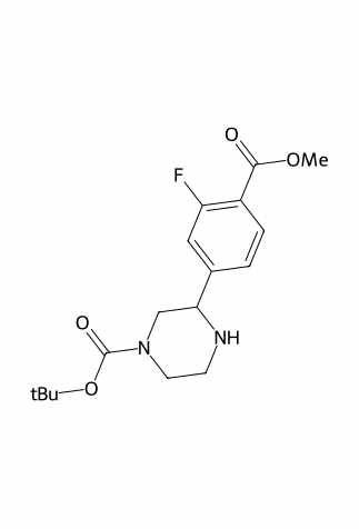 COC(=O)c1ccc(C2CN(C(=O)OC(C)(C)C)CCN2)cc1F